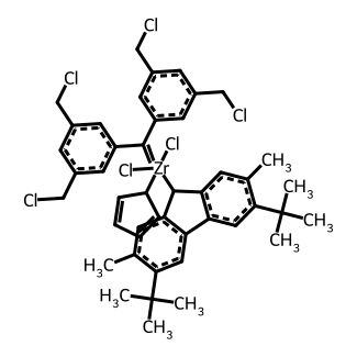 Cc1cc2c(cc1C(C)(C)C)-c1cc(C(C)(C)C)c(C)cc1[CH]2[Zr]([Cl])([Cl])(=[C](c1cc(CCl)cc(CCl)c1)c1cc(CCl)cc(CCl)c1)[CH]1C=CC=C1